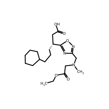 CCOC(=O)CN(C)Cc1noc([C@H](CCCC2CCCCC2)CC(=O)O)n1